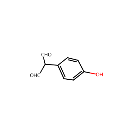 O=CC(C=O)c1ccc(O)cc1